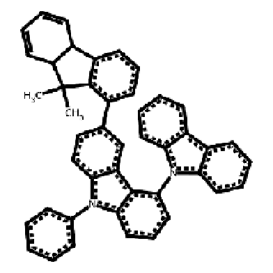 CC1(C)c2c(-c3ccc4c(c3)c3c(-n5c6ccccc6c6ccccc65)cccc3n4-c3ccccc3)cccc2C2C=CC=CC21